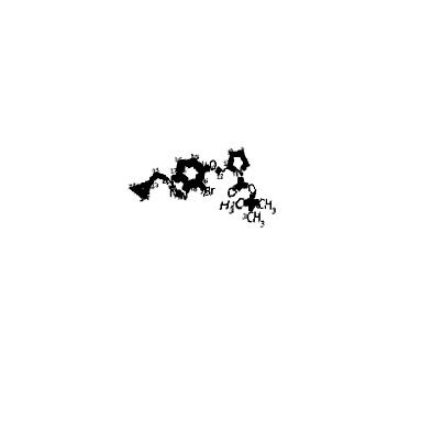 CC(C)(C)OC(=O)N1CCC[C@H]1COc1ccc2c(nnn2CC2CC2)c1Br